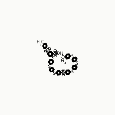 Cc1ccc(Sc2ccc(Sc3ccc(Sc4ccc(S(=O)(=O)c5ccc(Sc6ccc(Sc7ccc(Sc8ccc(S(=O)(=O)c9ccc(C)cc9)cc8S(=O)(=O)O)cc7)cc6)cc5)cc4)cc3)cc2)cc1